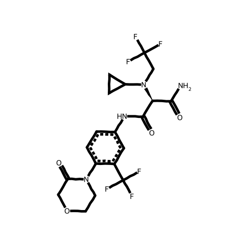 NC(=O)[C@@H](C(=O)Nc1ccc(N2CCOCC2=O)c(C(F)(F)F)c1)N(CC(F)(F)F)C1CC1